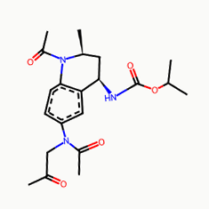 CC(=O)CN(C(C)=O)c1ccc2c(c1)[C@H](NC(=O)OC(C)C)C[C@H](C)N2C(C)=O